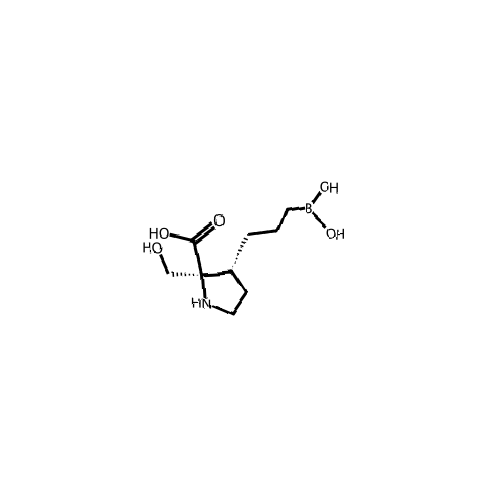 O=C(O)[C@]1(CO)NCC[C@H]1CCCB(O)O